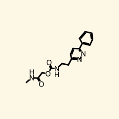 CNC(=O)COC(=O)NCCc1ccc(-c2ccccc2)nn1